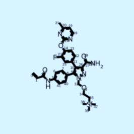 C=CC(=O)Nc1ccc(-c2c(-c3ccc(Oc4nccc(C)n4)c(F)c3)c(C(N)=O)nn2COCC[Si](C)(C)C)cc1